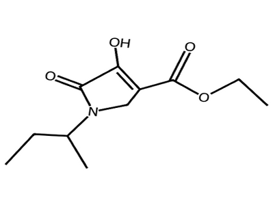 CCOC(=O)C1=C(O)C(=O)N(C(C)CC)C1